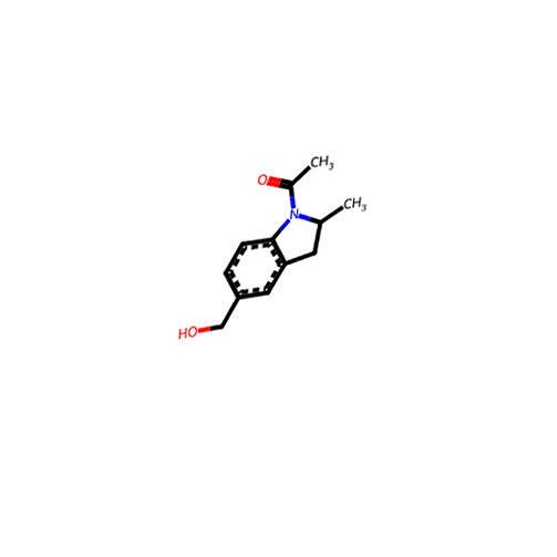 CC(=O)N1c2ccc(CO)cc2CC1C